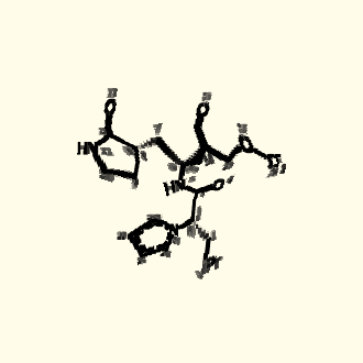 CC(C)C[C@@H](C(=O)N[C@@H](C[C@@H]1CCNC1=O)C(=O)COC(F)(F)F)n1cccc1